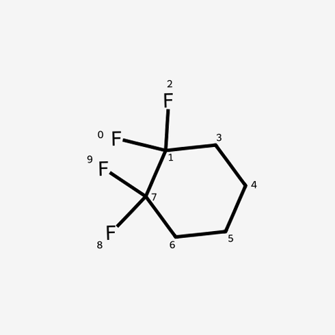 FC1(F)CCCCC1(F)F